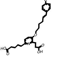 COc1ccc(/C=C/CCCCOc2ccc(CCCCC(=O)O)nc2CCC(=O)O)cc1